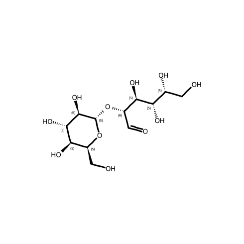 O=C[C@H](O[C@@H]1O[C@@H](CO)[C@@H](O)[C@H](O)[C@H]1O)[C@@H](O)[C@@H](O)[C@H](O)CO